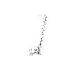 CCCCCCCCCCCCCCCCCCOCC(CS(=O)(=O)CCCO)OC